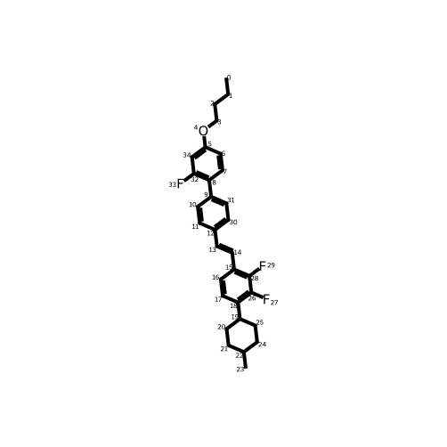 CCCCOc1ccc(-c2ccc(/C=C/c3ccc(C4CCC(C)CC4)c(F)c3F)cc2)c(F)c1